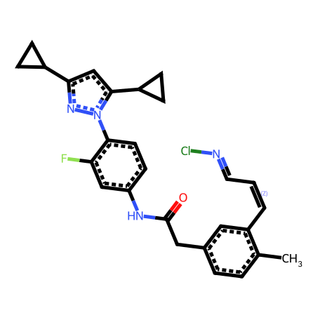 Cc1ccc(CC(=O)Nc2ccc(-n3nc(C4CC4)cc3C3CC3)c(F)c2)cc1/C=C\C=NCl